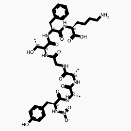 C[C@H](NC(=O)[C@H](C)NC(=O)[C@H](Cc1ccc(O)cc1)N[N+](=O)[O-])C(=O)NCC(=O)N[C@H](C(=O)N[C@@H](Cc1ccccc1)C(=O)N[C@@H](CCCCN)C(=O)O)[C@@H](C)O